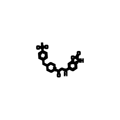 CS(=O)(=O)c1ccc(CC2CCN(C(=O)CNc3ccc4[nH]c(=O)oc4c3)CC2)cc1